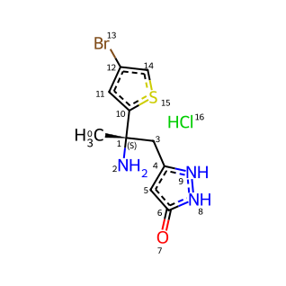 C[C@](N)(Cc1cc(=O)[nH][nH]1)c1cc(Br)cs1.Cl